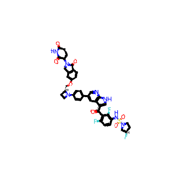 O=C1CCC(N2Cc3cc(OC[C@H]4CCN4c4ccc(-c5cnc6[nH]cc(C(=O)c7c(F)ccc(NS(=O)(=O)N8CC[C@@H](F)C8)c7F)c6c5)cc4)ccc3C2=O)C(=O)N1